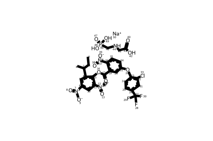 CCC(C)c1cc([N+](=O)[O-])cc([N+](=O)[O-])c1OC(=O)c1cc(Oc2ccc(C(F)(F)F)cc2Cl)ccc1[N+](=O)[O-].O=C(O)CNCP(=O)(O)O.[Na+]